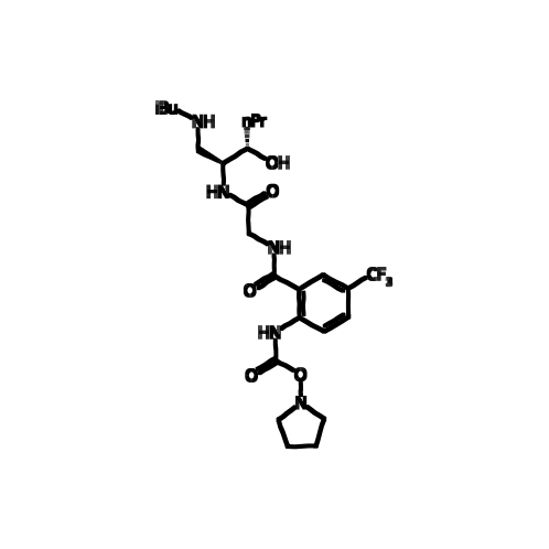 CCC[C@H](O)[C@H](CNC(C)CC)NC(=O)CNC(=O)c1cc(C(F)(F)F)ccc1NC(=O)ON1CCCC1